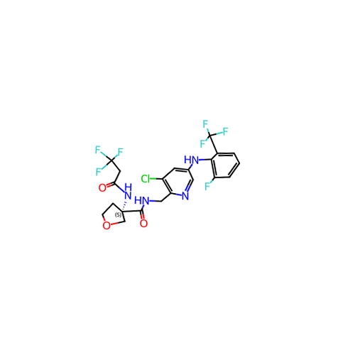 O=C(CC(F)(F)F)N[C@@]1(C(=O)NCc2ncc(Nc3c(F)cccc3C(F)(F)F)cc2Cl)CCOC1